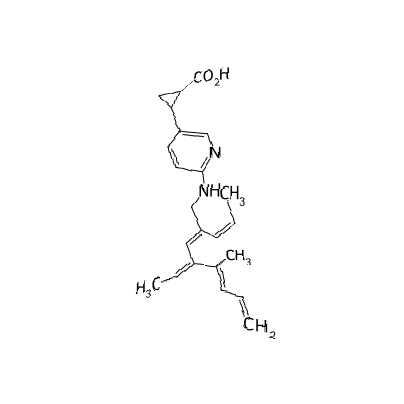 C=C/C=C(C)/C(/C=C(\C=C/C)CNc1ccc(C2CC2C(=O)O)cn1)=C/C